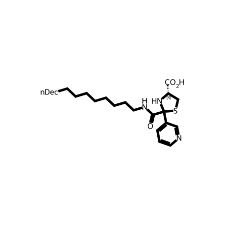 CCCCCCCCCCCCCCCCCCNC(=O)C1(c2cccnc2)N[C@H](C(=O)O)CS1